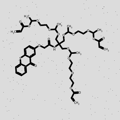 C=CC(=O)OCCOCCOC(C)OCC(COC(C)OCCOC(C)OC(=O)C=C)(COC(C)OCCOC(C)OC(=O)C=C)NC(=O)COc1ccc2sc3ccccc3c(=O)c2c1